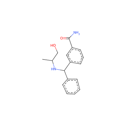 CC(CO)NC(c1ccccc1)c1cccc(C(N)=O)c1